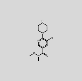 CON(C)C(=O)c1cnc(N2CCNCC2)c(Cl)c1